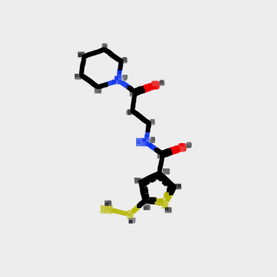 O=C(NCCC(=O)N1CCCCC1)c1csc(SS)c1